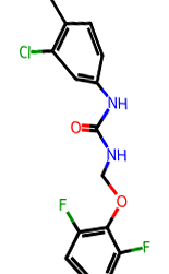 Cc1ccc(NC(=O)NCOc2c(F)cccc2F)cc1Cl